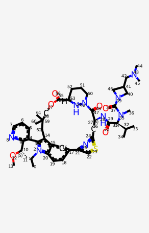 CCn1c(-c2cccnc2[C@H](C)OC)c2c3cc(ccc31)-c1csc(n1)C[C@H](NC(=O)[C@H](C(C)C)N(C)C(=O)N1CC(CN(C)C)C1)C(=O)N1CCC[C@H](N1)C(=O)OCC(C)(C)C2